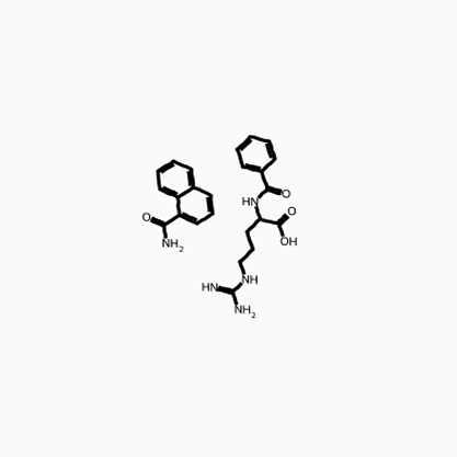 N=C(N)NCCCC(NC(=O)c1ccccc1)C(=O)O.NC(=O)c1cccc2ccccc12